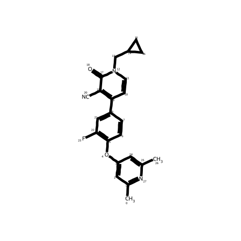 Cc1cc(Oc2ccc(-c3ccn(CC4CC4)c(=O)c3C#N)cc2F)cc(C)n1